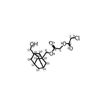 O=C(CCl)OCC(=O)OCC12CC3CC(CC(CO)(C3)C1)C2